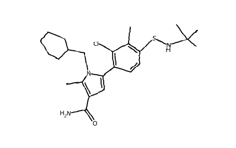 Cc1c(SNC(C)(C)C)ccc(-c2cc(C(N)=O)c(C)n2CC2CCCCC2)c1Cl